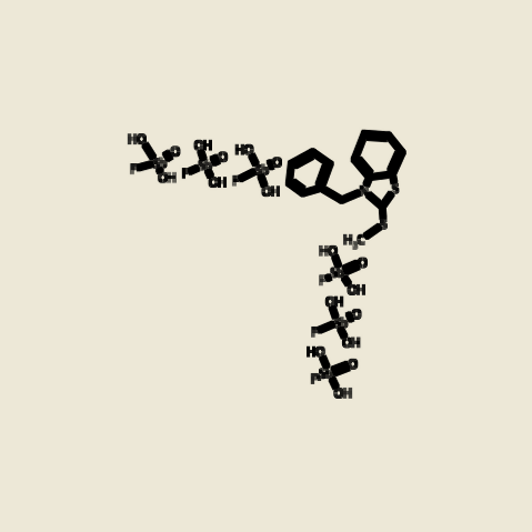 CSC1Sc2ccccc2N1Cc1ccccc1.[O]=[Sb]([OH])([OH])[F].[O]=[Sb]([OH])([OH])[F].[O]=[Sb]([OH])([OH])[F].[O]=[Sb]([OH])([OH])[F].[O]=[Sb]([OH])([OH])[F].[O]=[Sb]([OH])([OH])[F]